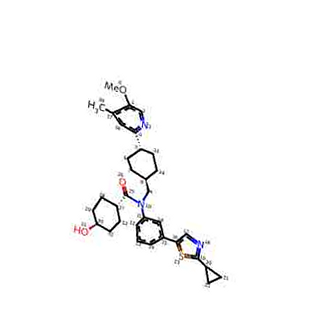 COc1cnc([C@H]2CC[C@H](CN(c3cccc(-c4cnc(C5CC5)s4)c3)C(=O)[C@H]3CC[C@H](O)CC3)CC2)cc1C